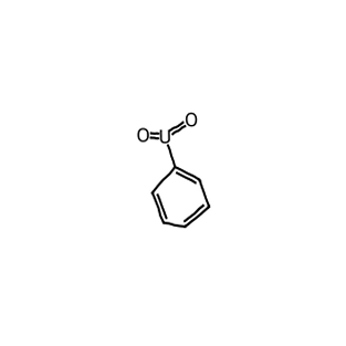 [O]=[U](=[O])[c]1ccccc1